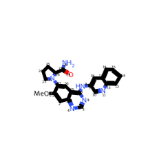 COc1cc2ncnc(Nc3cnc4ccccc4c3)c2cc1N1CCCC1C(N)=O